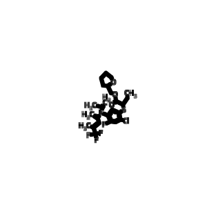 C=C(C)N(C(=C)/C=C(\C)C(F)(F)F)c1cc(SC(CC)C(=O)OCC2CCCCO2)c(Cl)cc1F